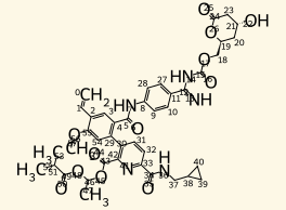 C=Cc1cc(C(=O)Nc2ccc(C(=N)NC(=O)OC[C@@H]3C[C@@H](O)CC(=O)O3)cc2)c(-c2ccc(C(=O)NCC3CC3)nc2C(=O)OC(C)OC(=O)C(C)C)cc1OC